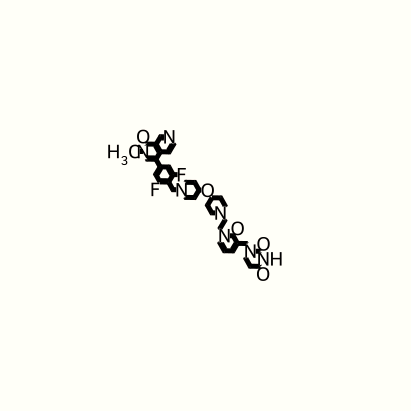 Cn1cc(-c2cc(F)c(CN3CCC(OC4CCN(CCn5cccc(CN6CCC(=O)NC6=O)c5=O)CC4)CC3)c(F)c2)c2ccncc2c1=O